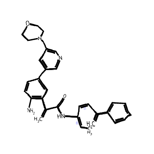 C=C(/C=C\C(=C/C)NC(=O)C(=C)c1cc(-c2cncc(N3CCOCC3)c2)ccc1N)c1ccccc1